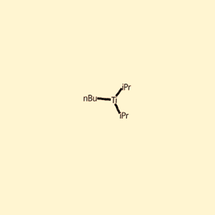 CCC[CH2][Ti]([CH](C)C)[CH](C)C